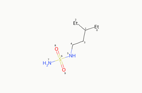 CCC(CC)CCNS(N)(=O)=O